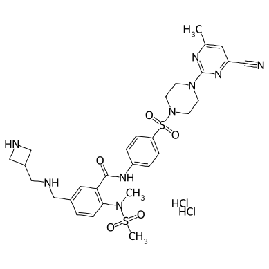 Cc1cc(C#N)nc(N2CCN(S(=O)(=O)c3ccc(NC(=O)c4cc(CNCC5CNC5)ccc4N(C)S(C)(=O)=O)cc3)CC2)n1.Cl.Cl